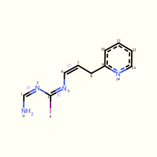 N\C=N/C(I)=N\C=C/Cc1ccccn1